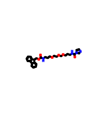 O=C(NCCCOCCOCOCCCNC(=O)n1ccnc1)OCC1c2ccccc2-c2ccccc21